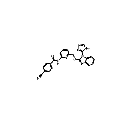 Cn1cnnc1-n1c(OCc2cccc(NC(=O)c3ccc(C#N)cc3)n2)nc2ccccc21